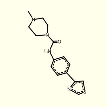 CN1CCN(C(=O)Nc2ccc(-c3cscn3)cc2)CC1